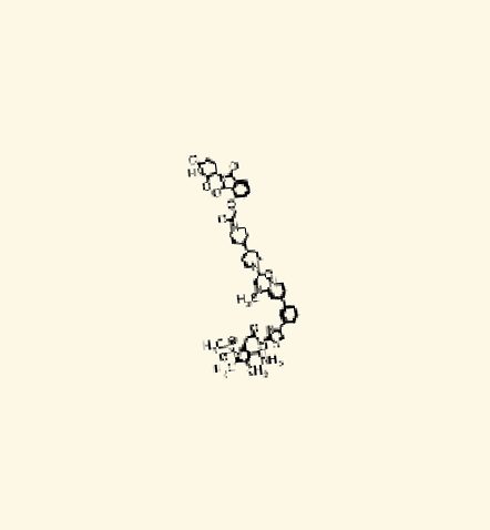 Cc1c(C(N)=O)c(CC(=O)Nc2nc(-c3cccc(-c4ccnc(N(C)CC(=O)N5CCC(C6CCN(C(=O)COc7cccc8c7C(=O)N(C7CCC(=O)NC7=O)C8=O)CC6)CC5)c4)c3)cs2)n(S(C)(=O)=O)c1C